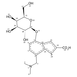 CN(C)Cc1ccc(O[C@@H]2O[C@H](CO)[C@H](O)[C@H](O)[C@H]2O)c2cc(C(=O)O)sc12